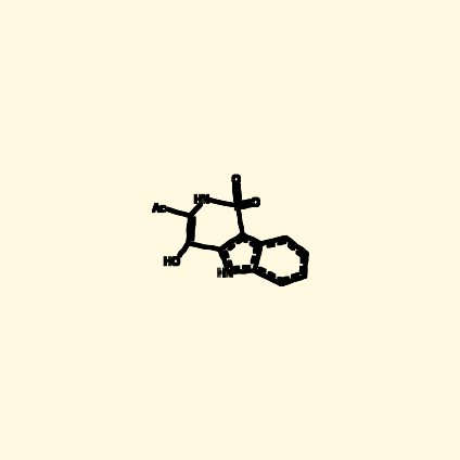 CC(=O)C1=C(O)c2[nH]c3ccccc3c2S(=O)(=O)N1